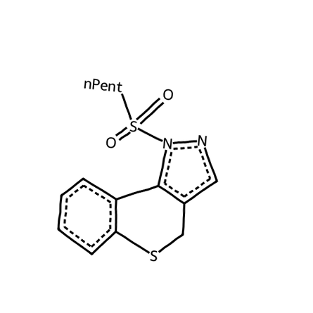 CCCCCS(=O)(=O)n1ncc2c1-c1ccccc1SC2